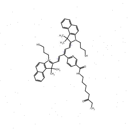 CCC(=O)CCCCCNC(=O)c1ccc(C(=C\C=C2\N(CCCS)c3ccc4ccccc4c3C2(C)C)/C=C/C2=[N+](CCCS)c3ccc4ccccc4c3C2(C)C)nc1